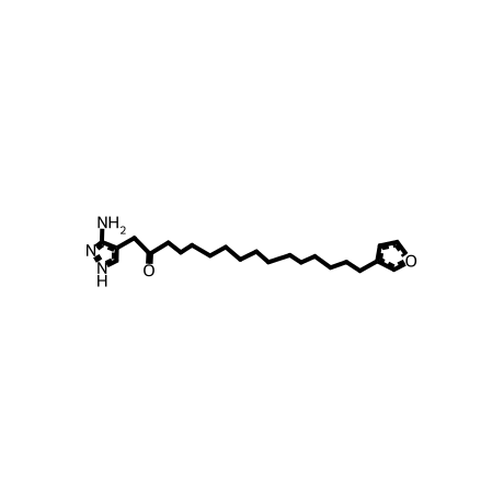 Nc1n[nH]cc1CC(=O)CCCCCCCCCCCCCCc1ccoc1